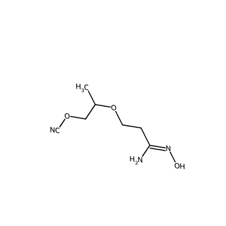 CC(COC#N)OCC/C(N)=N/O